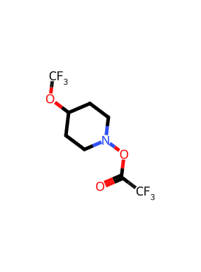 O=C(ON1CCC(OC(F)(F)F)CC1)C(F)(F)F